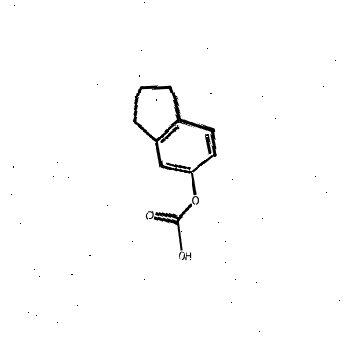 O=C(O)Oc1ccc2c(c1)CCC2